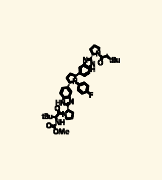 COC(=O)N[C@H](C(=O)N1CCC[C@H]1c1nc2cc([C@@H]3CC[C@@H](c4ccc5[nH]c([C@@H]6CCCN6C(=O)[CH]C(C)(C)C)nc5c4)N3c3ccc(F)cc3)ccc2[nH]1)C(C)(C)C